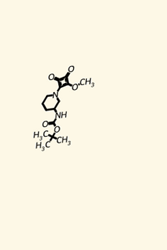 COc1c(N2CCCC(NC(=O)OC(C)(C)C)C2)c(=O)c1=O